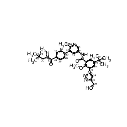 COc1c(C(=O)Nc2cnc(C)c(-c3ccc(C(=O)NCC(C)(C)C)cc3)c2)cc(C(C)(C)C)cc1-n1cc(CO)nn1